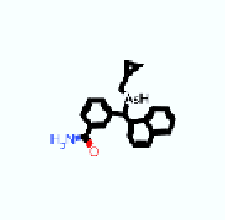 NC(=O)c1cccc(C([AsH]CC2CC2)c2cccc3ccccc23)c1